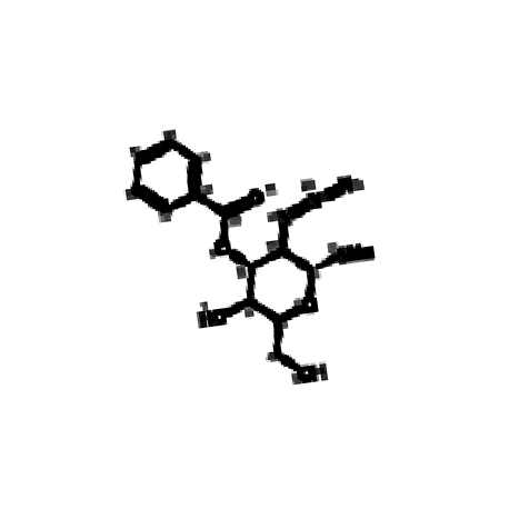 CS[C@@H]1OC(CO)[C@@H](O)[C@@H](OC(=O)c2ccccc2)C1N=[N+]=[N-]